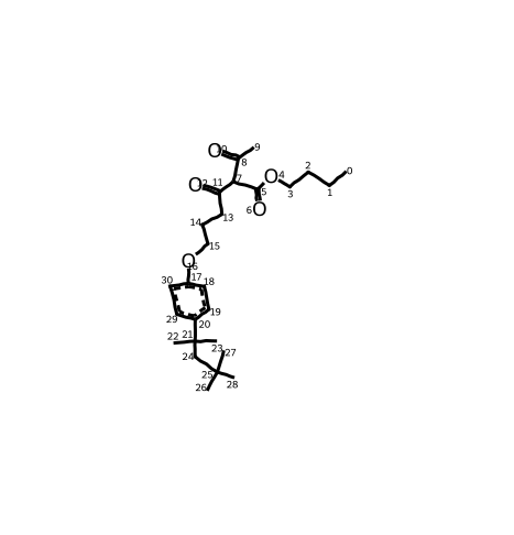 CCCCOC(=O)C(C(C)=O)C(=O)CCCOc1ccc(C(C)(C)CC(C)(C)C)cc1